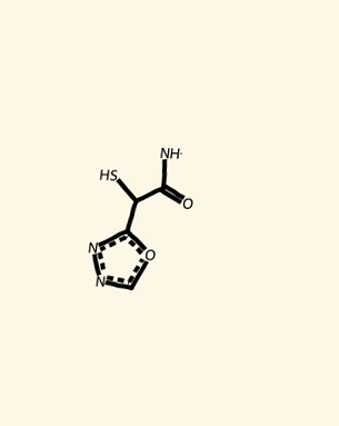 [NH]C(=O)C(S)c1nnco1